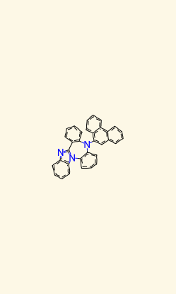 c1ccc2c(c1)-c1nc3ccccc3n1-c1ccccc1N2c1cc2ccccc2c2ccccc12